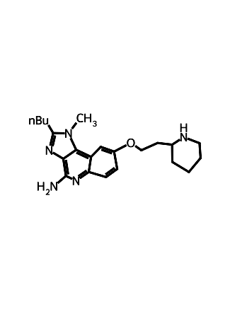 CCCCc1nc2c(N)nc3ccc(OCCC4CCCCN4)cc3c2n1C